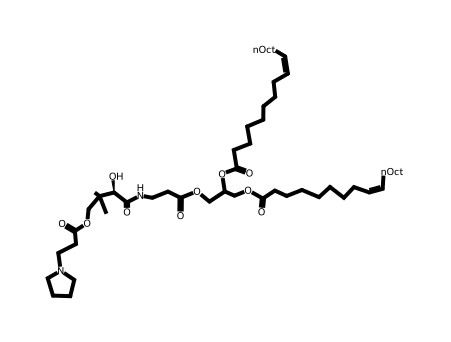 CCCCCCCC/C=C\CCCCCCCC(=O)OCC(COC(=O)CCNC(=O)[C@H](O)C(C)(C)COC(=O)CCN1CCCC1)OC(=O)CCCCCCC/C=C\CCCCCCCC